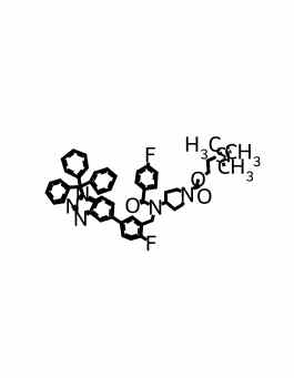 C[Si](C)(C)CCOC(=O)N1CCC(N(Cc2cc(-c3ccc4c(c3)nnn4C(c3ccccc3)(c3ccccc3)c3ccccc3)ccc2F)C(=O)c2ccc(F)cc2)CC1